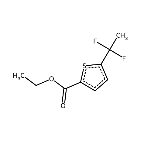 CCOC(=O)c1ccc(C(C)(F)F)s1